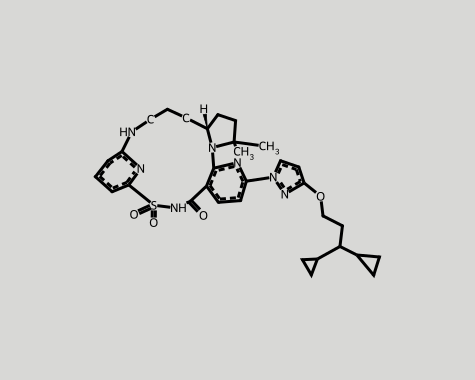 CC1(C)CC[C@H]2CCCNc3cccc(n3)S(=O)(=O)NC(=O)c3ccc(-n4ccc(OCCC(C5CC5)C5CC5)n4)nc3N21